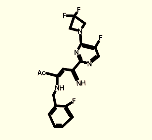 CC(=O)/C(=C/C(=N)c1ncc(F)c(N2CC(F)(F)C2)n1)NCc1ccccc1F